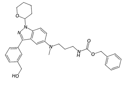 CN(CCCNC(=O)OCc1ccccc1)c1ccc2c(c1)c(-c1cccc(CO)c1)nn2C1CCCCO1